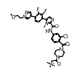 COCCn1cc(-c2ccc(-c3cnc(C(=O)Nc4ccc(C(=O)N5CCN(C(=O)C[N+](C)(C)C)CC5)c(Cl)c4)n3C)c(F)c2F)cn1